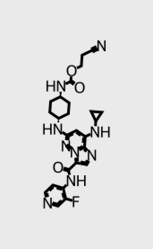 N#CCCOC(=O)N[C@H]1CC[C@H](Nc2cc(NC3CC3)c3ncc(C(=O)Nc4ccncc4F)n3n2)CC1